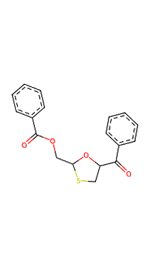 O=C(OCC1OC(C(=O)c2ccccc2)CS1)c1ccccc1